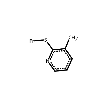 [CH2]c1cccnc1SC(C)C